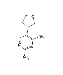 Nc1ncc(C2CCOC2)c(N)n1